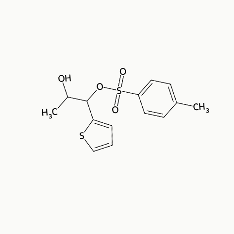 Cc1ccc(S(=O)(=O)OC(c2cccs2)C(C)O)cc1